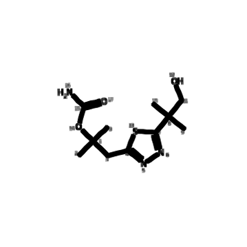 CC(C)(Cc1nnc(C(C)(C)CO)s1)OC(N)=O